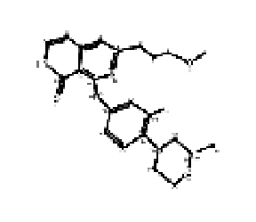 COCCCc1cc2cc[nH]c(=O)c2c(Nc2ccc(N3CCO[C@H](C)C3)c(C)c2)n1